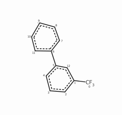 FC(F)(F)c1cccc(-c2cc[c]cc2)c1